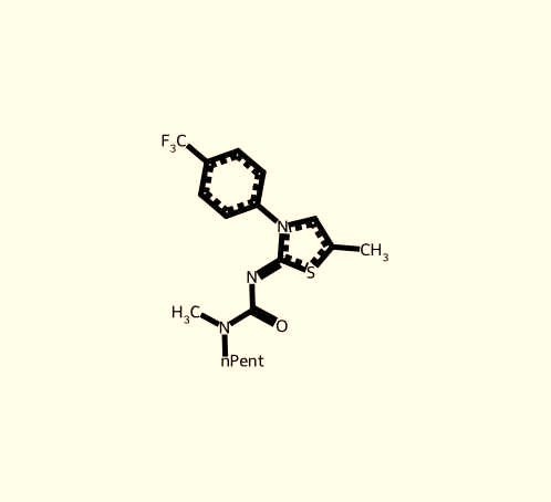 CCCCCN(C)C(=O)/N=c1\sc(C)cn1-c1ccc(C(F)(F)F)cc1